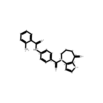 Cc1ccccc1C(=O)Nc1ccc(C(=O)N2CCCC(=O)c3sccc32)cc1